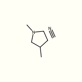 C#N.CC1CCN(C)C1